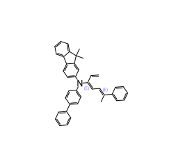 C=C/C(=C\C=C(/C)c1ccccc1)N(c1ccc(-c2ccccc2)cc1)c1ccc2c(c1)C(C)(C)c1ccccc1-2